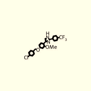 COc1cc(OCc2ccc(Cl)cc2)ccc1-c1c[nH]c(-c2ccc(C(F)(F)F)cc2)n1